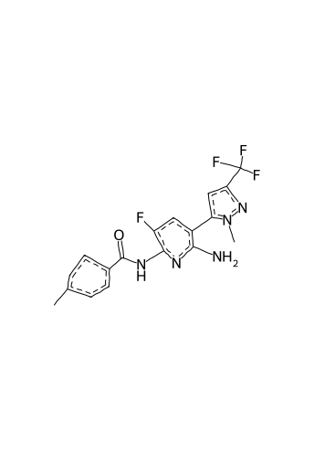 Cc1ccc(C(=O)Nc2nc(N)c(-c3cc(C(F)(F)F)nn3C)cc2F)cc1